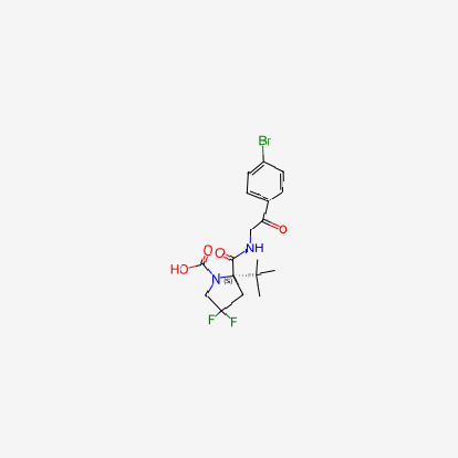 CC(C)(C)[C@]1(C(=O)NCC(=O)c2ccc(Br)cc2)CC(F)(F)CN1C(=O)O